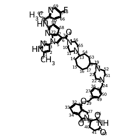 Cc1cc(-n2cc(C(=O)N3CCN(C4CCCCC(CN5CCN(Cc6ccc(COc7cccc8c7CN([C@@H]7CCC(=O)NC7=O)C8=O)cc6)CC5)CC4)CC3)c3ccc(N[C@@H](C)c4ccc(F)cn4)nc32)n[nH]1